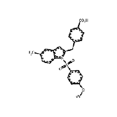 CCCOc1ccc(S(=O)(=O)n2c(Cc3ccc(C(=O)O)cc3)cc3cc(C(F)(F)F)ccc32)cc1